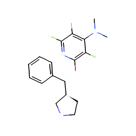 CN(C)c1c(F)c(F)nc(O[C@@H](c2ccccc2)[C@H]2CCNC2)c1F